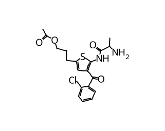 CC(=O)OCCCc1cc(C(=O)c2ccccc2Cl)c(NC(=O)C(C)N)s1